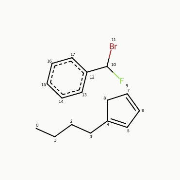 CCCCC1=CC=CC1.FC(Br)c1ccccc1